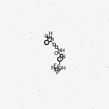 O=C(N[C@H]1CC2(C1)C[C@H](c1n[nH]c(=O)c3ccccc31)C2)c1cnn2cc(CCC(O)(C(F)(F)F)C(F)(F)F)ccc12